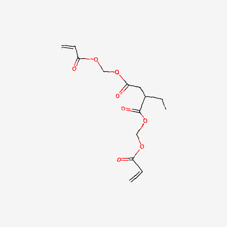 C=CC(=O)OCOC(=O)CC(CC)C(=O)OCOC(=O)C=C